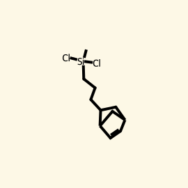 C[Si](Cl)(Cl)CCCC1CC2C=CC1C2